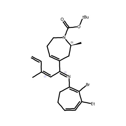 C=C/C(C)=C\C(=N/C1=C(Br)C(CC)=C=CCC1)C1=CCCN(C(=O)OC(C)(C)C)[C@@H](C)C1